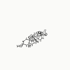 C[C@]12CC[C@H](O)C[C@@H]1CC[C@@H]1[C@@H]2CC[C@@]2(C)[C@H]1CC[C@]2(O)[C@@H]1CO1